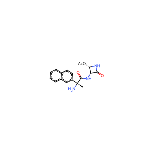 CC(=O)O[C@@H]1NC(=O)[C@H]1NC(=O)[C@](C)(N)c1ccc2ccccc2c1